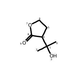 CC(C)(O)C1CCOC1=O